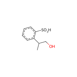 CC(CO)c1ccccc1S(=O)(=O)O